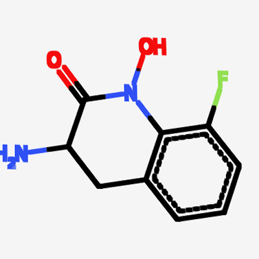 NC1Cc2cccc(F)c2N(O)C1=O